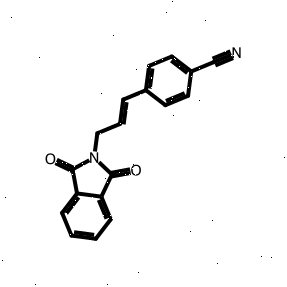 N#Cc1ccc(C=CCN2C(=O)c3ccccc3C2=O)cc1